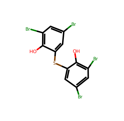 Oc1c(Br)cc(Br)cc1Sc1cc(Br)cc(Br)c1O